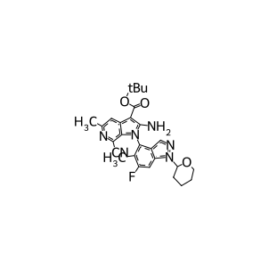 Cc1cc2c(C(=O)OC(C)(C)C)c(N)n(-c3c(C)c(F)cc4c3cnn4C3CCCCO3)c2c(C#N)n1